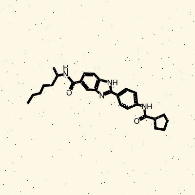 CCCCCC(C)NC(=O)c1ccc2[nH]c(-c3ccc(NC(=O)C4CCCC4)cc3)nc2c1